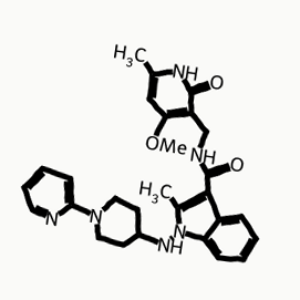 COc1cc(C)[nH]c(=O)c1CNC(=O)c1c(C)n(NC2CCN(c3ccccn3)CC2)c2ccccc12